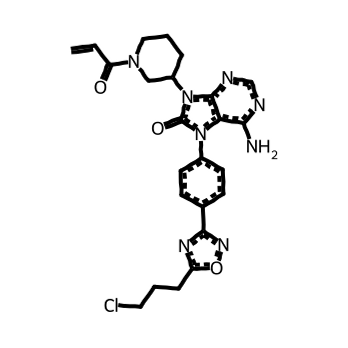 C=CC(=O)N1CCCC(n2c(=O)n(-c3ccc(-c4noc(CCCCl)n4)cc3)c3c(N)ncnc32)C1